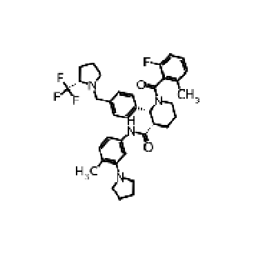 Cc1ccc(NC(=O)[C@H]2CCCN(C(=O)c3c(C)cccc3F)[C@H]2c2ccc(CN3CCC[C@H]3C(F)(F)F)cc2)cc1N1CCCC1